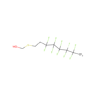 OCSCCC(F)(F)C(F)(F)C(F)(F)C(F)(F)C(F)(F)C(F)(F)F